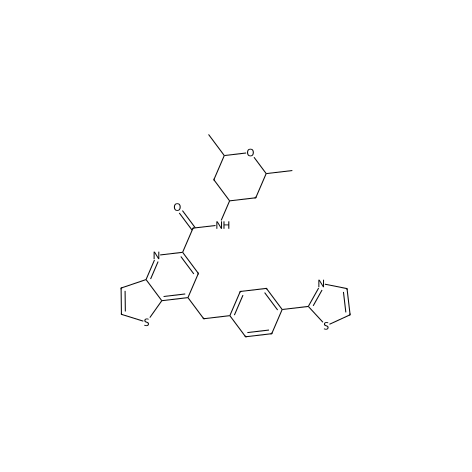 CC1CC(NC(=O)c2cc(Cc3ccc(-c4nccs4)cc3)c3sccc3n2)CC(C)O1